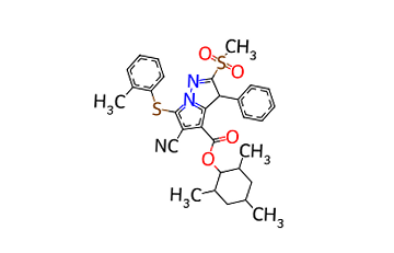 Cc1ccccc1Sc1c(C#N)c(C(=O)OC2C(C)CC(C)CC2C)c2n1N=C(S(C)(=O)=O)C2c1ccccc1